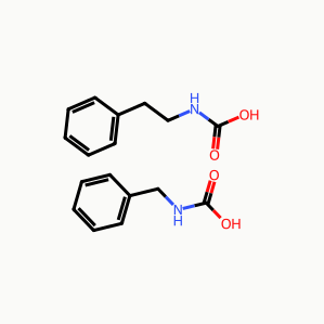 O=C(O)NCCc1ccccc1.O=C(O)NCc1ccccc1